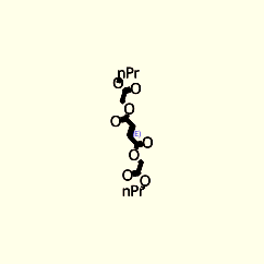 CCCOC(=O)COC(=O)/C=C/C(=O)OCC(=O)OCCC